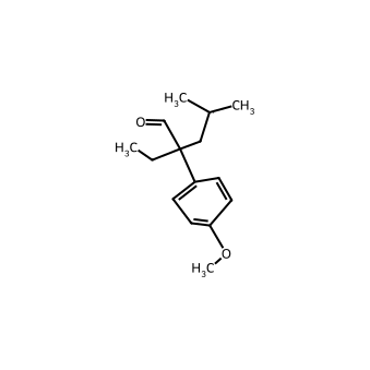 CCC(C=O)(C[C](C)C)c1ccc(OC)cc1